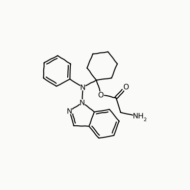 NCC(=O)OC1(N(c2ccccc2)n2ncc3ccccc32)CCCCC1